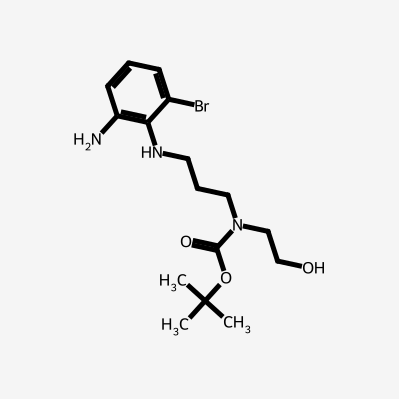 CC(C)(C)OC(=O)N(CCO)CCCNc1c(N)cccc1Br